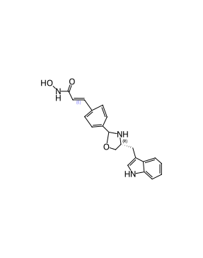 O=C(/C=C/c1ccc(C2N[C@H](Cc3c[nH]c4ccccc34)CO2)cc1)NO